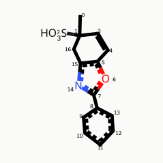 CC1(S(=O)(=O)O)C=Cc2oc(-c3ccccc3)nc2C1